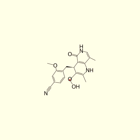 COc1cc(C#N)ccc1C[C@@H]1C(C(=O)O)=C(C)Nc2c(C)c[nH]c(=O)c21